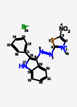 C[n+]1cc([N+](=O)[O-])sc1/N=N/c1c(-c2ccccc2)[nH]c2ccccc12.[Br-]